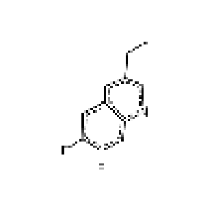 [CH2]Cc1cnc2cc(F)c(F)cc2c1